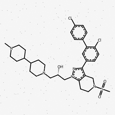 CN1CCC(C2CCN(C[C@H](O)Cn3nc(-c4ccc(Cl)c(-c5ccc(Cl)cc5)c4)c4c3CCN(S(C)(=O)=O)C4)CC2)CC1